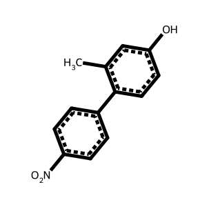 Cc1cc(O)ccc1-c1ccc([N+](=O)[O-])cc1